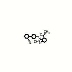 COC(=O)c1cccc2nc(Cl)n(Cc3ccc(-c4ccccc4C#N)cc3)c12